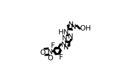 O=C1COCCN1c1cc(F)cc(Cn2ncc3cnc(Nc4cnn(CCO)c4)nc32)c1F